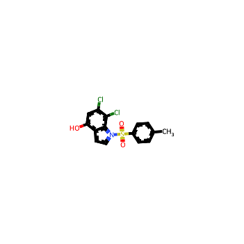 Cc1ccc(S(=O)(=O)n2ccc3c(O)cc(Cl)c(Cl)c32)cc1